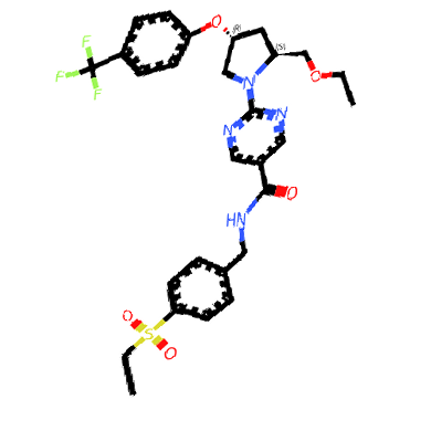 CCOC[C@@H]1C[C@@H](Oc2ccc(C(F)(F)F)cc2)CN1c1ncc(C(=O)NCc2ccc(S(=O)(=O)CC)cc2)cn1